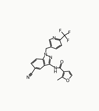 Cc1occc1C(=O)Nc1nn(Cc2ccc(C(F)(F)F)nc2)c2ccc(C#N)cc12